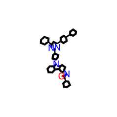 c1ccc(-c2ccc(-c3cc(-c4ccccc4)nc(-c4ccc(-n5c6ccccc6c6c7oc(-c8ccccc8)nc7ccc65)cc4)n3)cc2)cc1